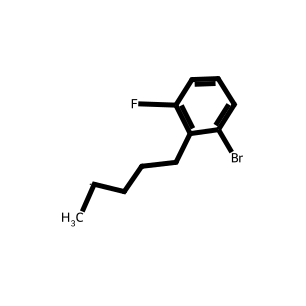 C[CH]CCCc1c(F)cccc1Br